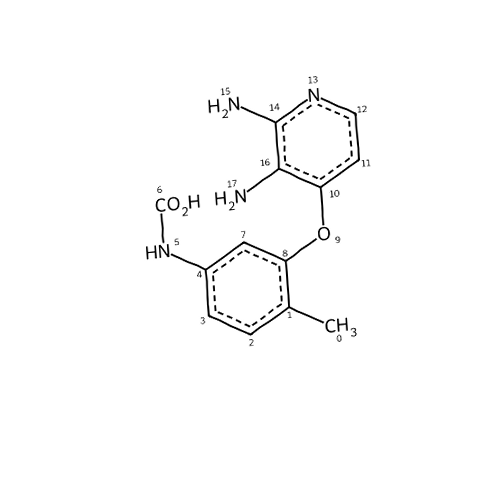 Cc1ccc(NC(=O)O)cc1Oc1ccnc(N)c1N